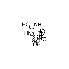 C[C@@H](O)[C@H]1C(=O)N2C(OC(=O)O)=C(S[C@@H]3CN[C@H](C(CCN)CCO)C3)C[C@H]12